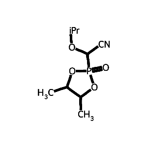 CC(C)OC(C#N)P1(=O)OC(C)C(C)O1